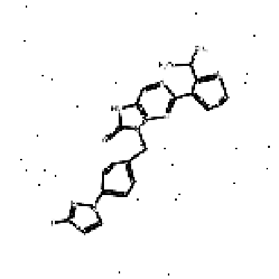 CC(C)c1ncccc1-c1ncc2[nH]c(=O)n(Cc3ccc(-n4ccc(F)n4)cc3)c2n1